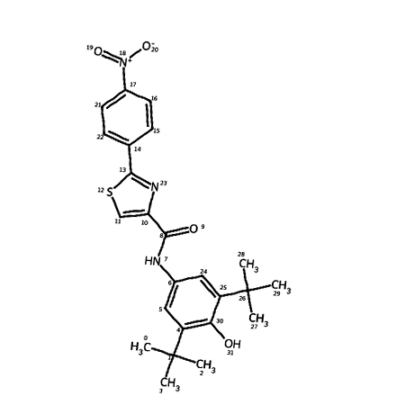 CC(C)(C)c1cc(NC(=O)c2csc(-c3ccc([N+](=O)[O-])cc3)n2)cc(C(C)(C)C)c1O